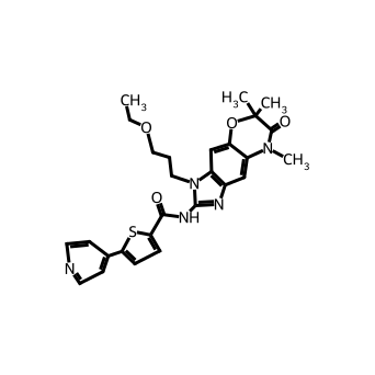 CCOCCCn1c(NC(=O)c2ccc(-c3ccncc3)s2)nc2cc3c(cc21)OC(C)(C)C(=O)N3C